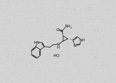 Cl.NC(=O)[C@@H]1C(NCCc2c[nH]c3ccccc23)[C@H]1c1c[nH]cn1